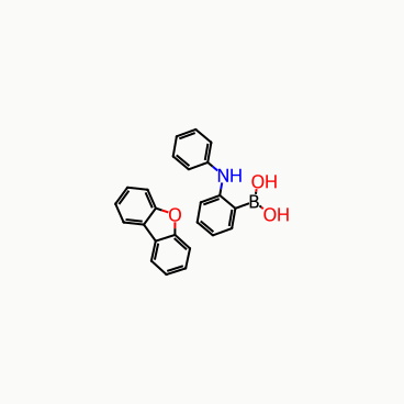 OB(O)c1ccccc1Nc1ccccc1.c1ccc2c(c1)oc1ccccc12